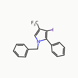 FC(F)(F)c1cn(Cc2ccccc2)c(-c2ccccc2)c1I